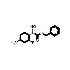 Cl.N[C@H]1CC[C@H](NC(=O)OCc2ccccc2)[C@@H](F)C1